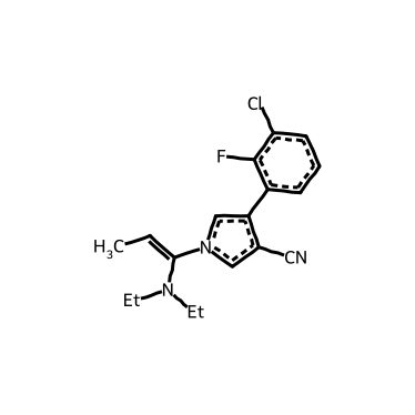 CC=C(N(CC)CC)n1cc(C#N)c(-c2cccc(Cl)c2F)c1